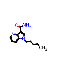 CCCCCn1cc(C(N)=O)c2ncccc21